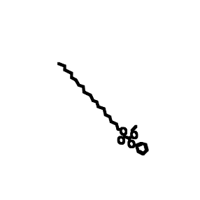 CCCCCCCCCCCCCCCCCCCOC(=O)C(OCC)Oc1ccccc1